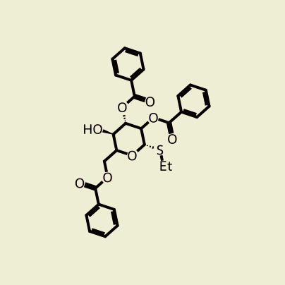 CCS[C@@H]1OC(COC(=O)c2ccccc2)[C@@H](O)[C@H](OC(=O)c2ccccc2)C1OC(=O)c1ccccc1